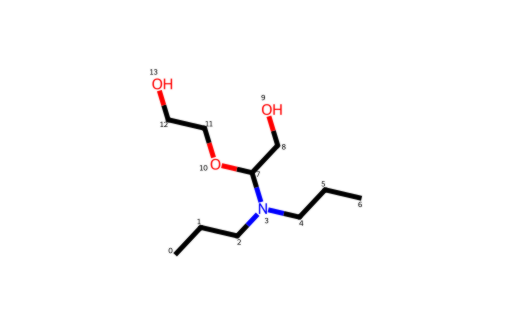 CCCN(CCC)C(CO)OCCO